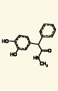 CNC(=O)C(c1ccccc1)c1ccc(O)c(O)c1